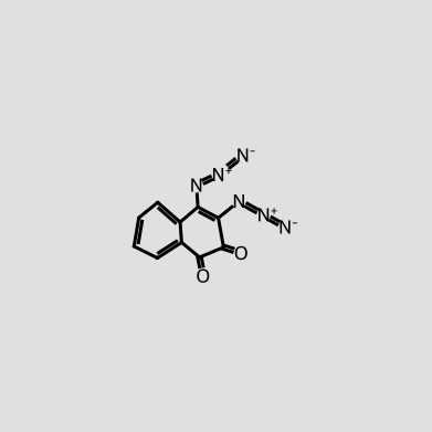 [N-]=[N+]=NC1=C(N=[N+]=[N-])c2ccccc2C(=O)C1=O